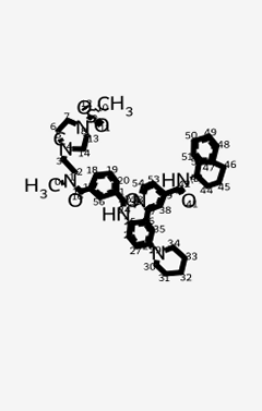 CN(CCN1CCCN(S(C)(=O)=O)CC1)C(=O)c1cccc(C(=O)Nc2ccc(N3CCCCC3)cc2-c2cc(C(=O)N[C@H]3CCCc4ccccc43)ccn2)c1